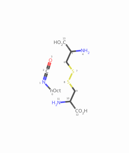 CCCCCCCCN=C=O.NC(CSSCC(N)C(=O)O)C(=O)O